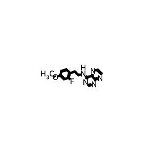 COc1ccc(CCNc2ncnc3nccnc23)c(F)c1